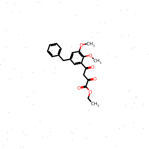 CCOC(=O)C(=O)CC(=O)c1cc(Cc2ccccc2)cc(OC)c1OC